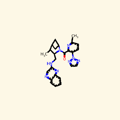 Cc1ccc(-n2nccn2)c(C(=O)N2C3CC(C3)C(C)C2CNc2cnc3ccccc3n2)n1